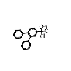 ClC1(c2ccc(-c3ccccc3)c(-c3ccccc3)c2)OCO1